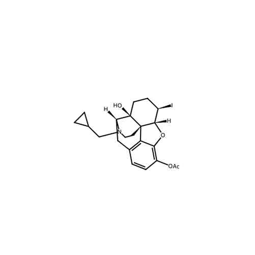 CC(=O)Oc1ccc2c3c1O[C@H]1[C@H](I)CC[C@@]4(O)[C@@H](C2)N(CC2CC2)CC[C@]314